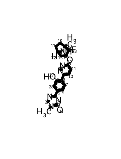 Cn1cnc(-c2ccc(-c3ccc(O[C@H]4C[C@@H]5CC[C@@](C)(N5)[C@H]4F)nn3)c(O)c2)nc1=O